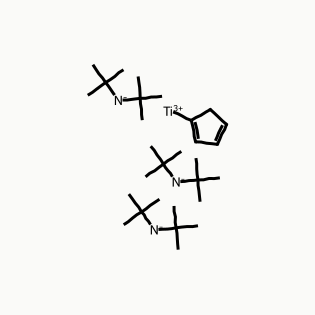 CC(C)(C)[N-]C(C)(C)C.CC(C)(C)[N-]C(C)(C)C.CC(C)(C)[N-]C(C)(C)C.[Ti+3][C]1=CC=CC1